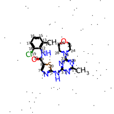 Cc1nc(Nc2ncc(C(=O)Nc3c(C)cccc3Cl)s2)nc(N2CCOCC2)n1